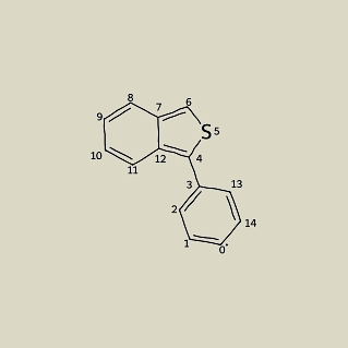 [c]1ccc(-c2scc3ccccc23)cc1